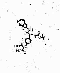 CC(C)(C)OC(=O)NCC(C(=O)Nc1cc2ccncc2s1)c1ccc(OC(C(=O)O)C(=O)O)cc1